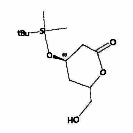 CC(C)(C)[Si](C)(C)O[C@H]1CC(=O)OC(CO)C1